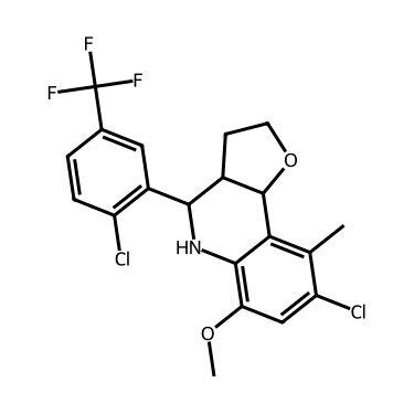 COc1cc(Cl)c(C)c2c1NC(c1cc(C(F)(F)F)ccc1Cl)C1CCOC21